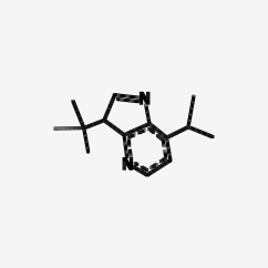 CC(C)c1ccnc2c1N=CC2C(C)(C)C